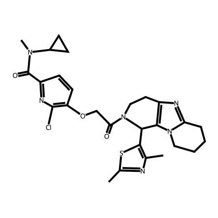 Cc1nc(C)c(C2c3c(nc4n3CCCC4)CCN2C(=O)COc2ccc(C(=O)N(C)C3CC3)nc2Cl)s1